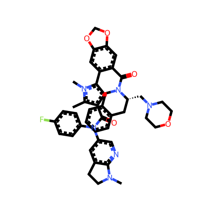 Cc1c(C(=O)N(c2ccc(F)cc2)c2cnc3c(c2)CCN3C)cc(-c2cc3c(cc2C(=O)N2Cc4ccccc4C[C@H]2CN2CCOCC2)OCO3)n1C